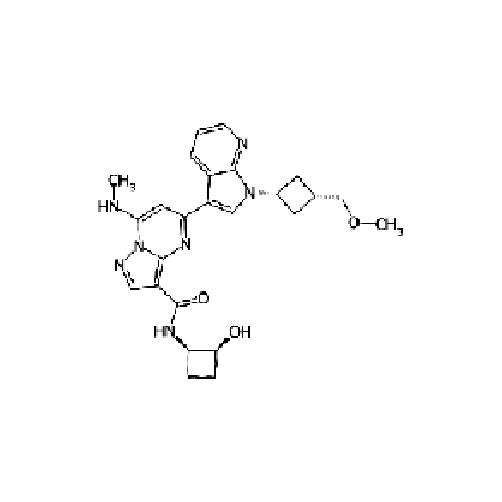 CNc1cc(-c2cn([C@H]3C[C@@H](COC)C3)c3ncccc23)nc2c(C(=O)N[C@@H]3CC[C@@H]3O)cnn12